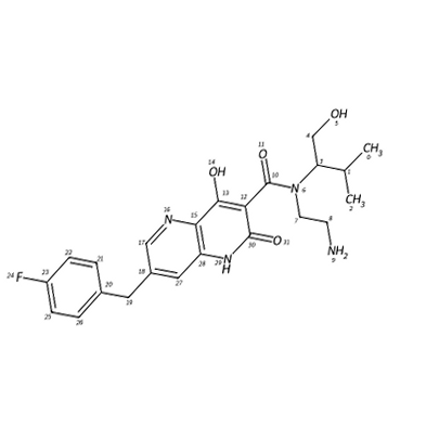 CC(C)C(CO)N(CCN)C(=O)c1c(O)c2ncc(Cc3ccc(F)cc3)cc2[nH]c1=O